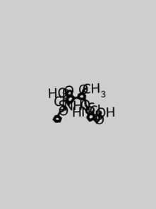 COc1cc(COC(=S)Nc2ccc3c(c2Cl)B(O)OC3)cc(-c2cc(NC(=S)OCc3ccccc3)c(Cl)c3c2COB3O)c1